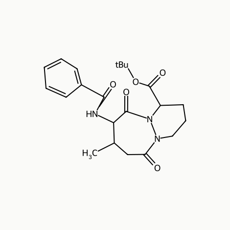 CC1CC(=O)N2CCCC(C(=O)OC(C)(C)C)N2C(=O)C1NC(=O)c1ccccc1